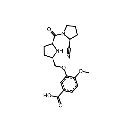 COc1ccc(C(=O)O)cc1OC[C@H]1CC[C@@H](C(=O)N2CCC[C@H]2C#N)N1